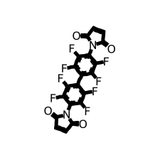 O=C1C=CC(=O)N1c1c(F)c(F)c(-c2c(F)c(F)c(N3C(=O)C=CC3=O)c(F)c2F)c(F)c1F